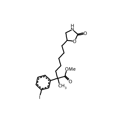 COC(=O)C(C)(CCCCCC1CNC(=O)O1)c1cccc(I)c1